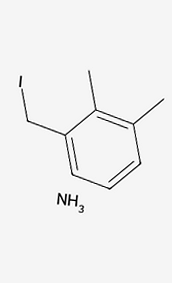 Cc1cccc(CI)c1C.N